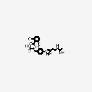 CC(=N)NCCc1cn(-c2ccc(C[C@H](NC(=O)c3c(Cl)cccc3Cl)C(=O)O)cc2)nn1